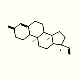 C=C[C@@]1(O)CC[C@H]2[C@@H]3CCC4=CC(=O)CC[C@]4(C)[C@H]3CC[C@@]21C